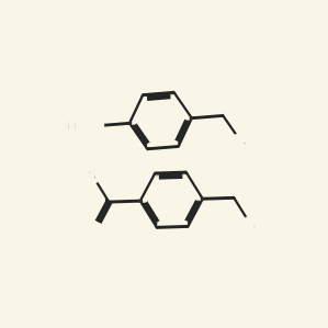 NC(=O)c1ccc(CBr)cc1.O=C(O)c1ccc(CBr)cc1